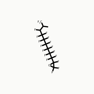 CC(C(F)C(F)(F)C(F)(F)C(F)(F)C(F)(F)C(F)(F)C(F)(F)C1(F)OC1(F)F)C(F)(F)F